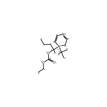 CCCC(C)(OC(=O)OCC)[N+]1(C(C)(C)C)C=CN=CC1